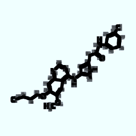 COc1cc2c(Nc3cc(CC(=O)Nc4cccc(Cl)c4)[nH]n3)ncnc2cc1OCCCCl